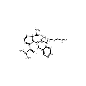 CCCN(CCC)C(=O)c1cccc(C(N)=O)c1[C@H](Cc1ccccc1)[C@@H](O)CNCCOC